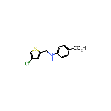 O=C(O)c1ccc(NCc2cc(Cl)cs2)cc1